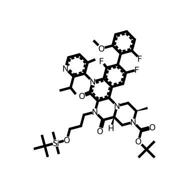 COc1cccc(F)c1-c1c(F)cc2c3c(c(=O)n(-c4c(C)ccnc4C(C)C)c2c1F)N(CCCO[Si](C)(C)C(C)(C)C)C(=O)[C@H]1CN(C(=O)OC(C)(C)C)[C@H](C)CN31